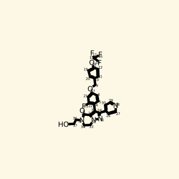 O=C1c2c(-c3ccc(OCc4ccc(OC(F)(F)F)cc4)cc3F)c(-c3ccncc3)nn2CCN1CCO